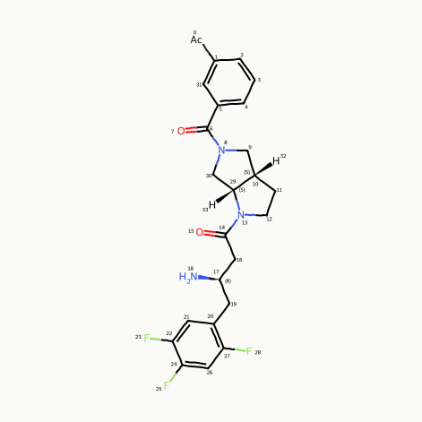 CC(=O)c1cccc(C(=O)N2C[C@@H]3CCN(C(=O)C[C@H](N)Cc4cc(F)c(F)cc4F)[C@@H]3C2)c1